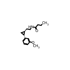 CCCC(=O)NCC[C@@H]1C[C@H]1c1cccc(OC)c1